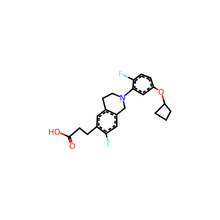 O=C(O)CCc1cc2c(cc1F)CN(c1cc(OC3CCC3)ccc1F)CC2